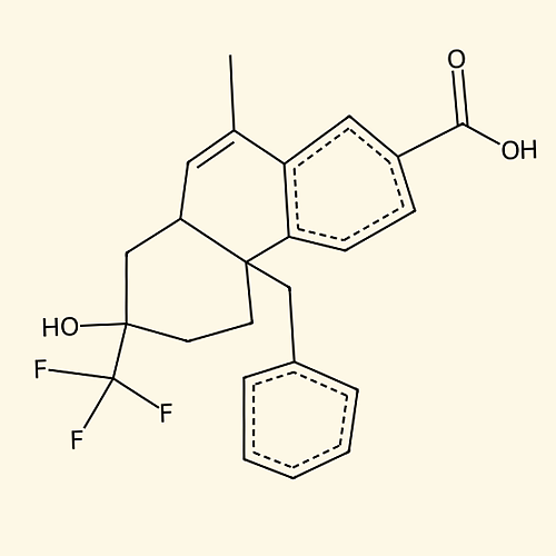 CC1=CC2CC(O)(C(F)(F)F)CCC2(Cc2ccccc2)c2ccc(C(=O)O)cc21